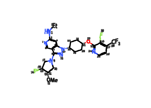 CCNc1cc2c(cn1)c(N1C[C@H](OC)[C@@H](F)C1)nn2[C@H]1CC[C@@H](Oc2nccc(C(F)(F)F)c2F)CC1